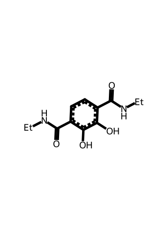 CCNC(=O)c1ccc(C(=O)NCC)c(O)c1O